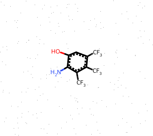 Nc1c(O)cc(C(F)(F)F)c(C(F)(F)F)c1C(F)(F)F